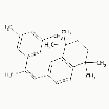 CC(=Cc1ccc2c(c1)C(C)(C)CCC2(C)C)c1cc(C)cc(C)c1